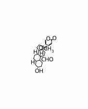 C[C@]12CC[C@H]3[C@@H](CC[C@@H]4C[C@@H](O)CC[C@@]43C=O)[C@@]1(O)CC[C@@H]2c1ccc(=O)oc1